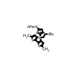 CCCCCCC(CCCC)C[Si]1(c2ccc(CCCCC)s2)c2cc(C)sc2-c2sc(C)cc21